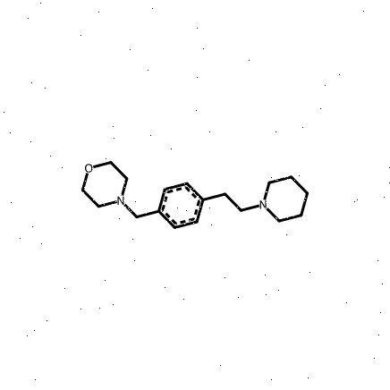 c1cc(CN2CCOCC2)ccc1CCN1CCCCC1